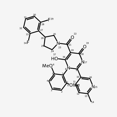 COc1cccc(OC)c1-n1c(-c2ccc(C)nc2)nc(=O)c(C(=O)N2CCC(c3c(F)cccc3F)C2)c1O